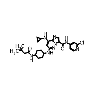 CC(C)CC(=O)NC1CCC(Nc2cc(NC3CC3)c3ncc(C(=O)Nc4ccnc(Cl)c4)n3n2)CC1